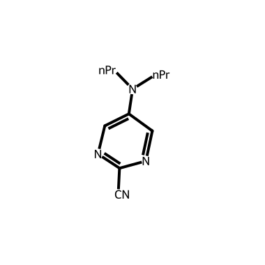 CCCN(CCC)c1cnc(C#N)nc1